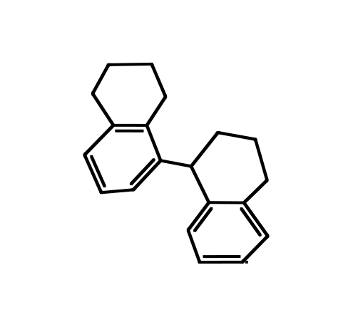 [c]1ccc2c(c1)CCCC2c1cccc2c1CCCC2